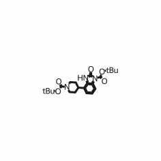 CC(C)(C)OC(=O)N1CCC(c2cccc3c2[nH]c(=O)n3C(=O)OC(C)(C)C)CC1